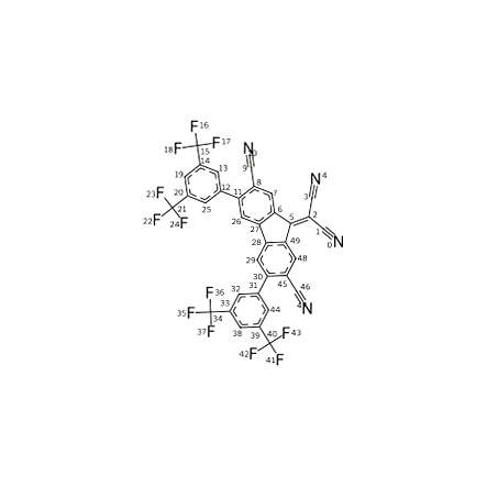 N#CC(C#N)=C1c2cc(C#N)c(-c3cc(C(F)(F)F)cc(C(F)(F)F)c3)cc2-c2cc(-c3cc(C(F)(F)F)cc(C(F)(F)F)c3)c(C#N)cc21